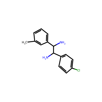 Cc1cccc(C(N)C(N)c2ccc(Cl)cc2)c1